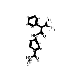 CC(C)C(C(=O)Nc1ccc(C(=O)NO)cc1)c1ccccc1